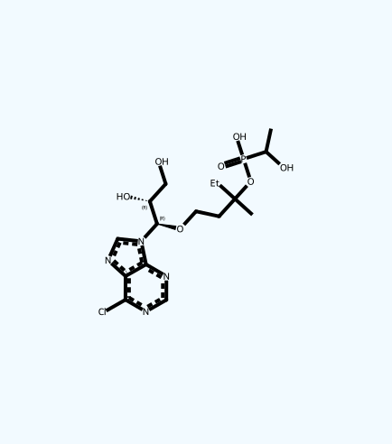 CCC(C)(CCO[C@H]([C@H](O)CO)n1cnc2c(Cl)ncnc21)OP(=O)(O)C(C)O